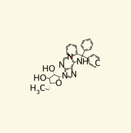 CC[C@H]1O[C@@H](n2cnc3c(NC(c4ccccc4)(c4ccccc4)c4ccccc4)ncnc32)[C@@H](O)C1O